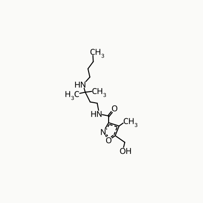 CCCCNC(C)(C)CCNC(=O)c1noc(CO)c1C